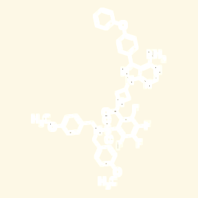 COc1ccc(CN(Cc2ccc(OC)cc2)S(=O)(=O)c2c(F)c(F)c(F)c(F)c2C(=O)N2CC(n3nc(-c4ccc(Oc5ccccc5)cc4)c4c(N)ncnc43)C2)cc1